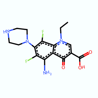 CCn1cc(C(=O)O)c(=O)c2c(N)c(F)c(N3CCNCC3)c(F)c21